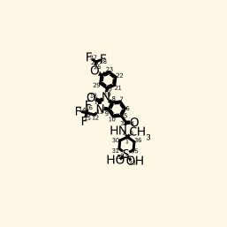 CC1(NC(=O)c2ccc3c(c2)n(CC(F)(F)F)c(=O)n3-c2cccc(OC(F)F)c2)CCS(O)(O)CC1